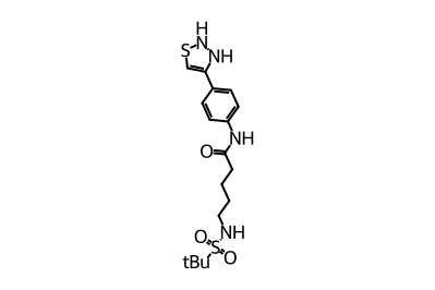 CC(C)(C)S(=O)(=O)NCCCCC(=O)Nc1ccc(C2=CSNN2)cc1